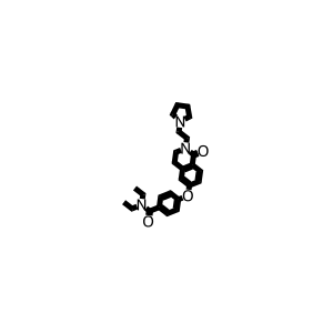 CCN(CC)C(=O)c1ccc(Oc2ccc3c(c2)CCN(CCN2CCCC2)C3=O)cc1